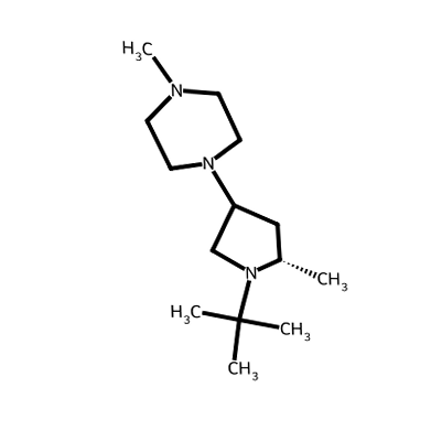 C[C@H]1CC(N2CCN(C)CC2)CN1C(C)(C)C